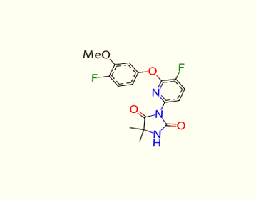 COc1cc(Oc2nc(N3C(=O)NC(C)(C)C3=O)ccc2F)ccc1F